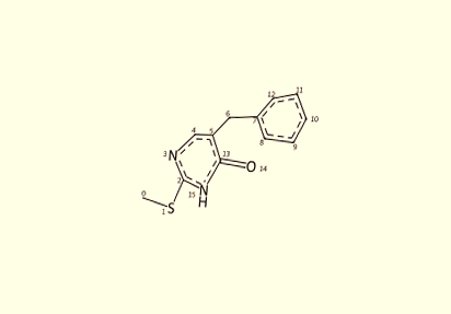 CSc1ncc(Cc2ccccc2)c(=O)[nH]1